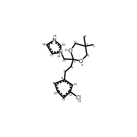 CC1(C)COC(CCc2cccc(Cl)c2)(Cn2ccnc2)OC1